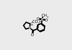 CS(=O)(=O)c1cccc(C(=O)N2CCC[C@@H]2C(=O)O)c1